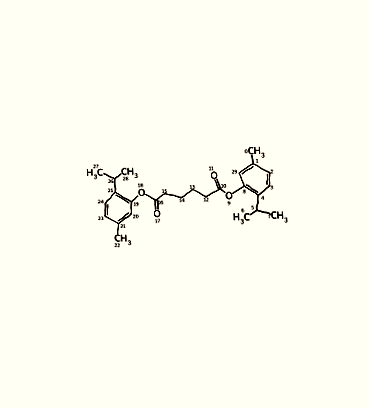 Cc1ccc(C(C)C)c(OC(=O)CCCCC(=O)Oc2cc(C)ccc2C(C)C)c1